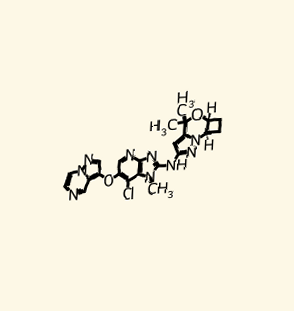 Cn1c(Nc2cc3n(n2)[C@@H]2CC[C@H]2OC3(C)C)nc2ncc(Oc3cnn4ccncc34)c(Cl)c21